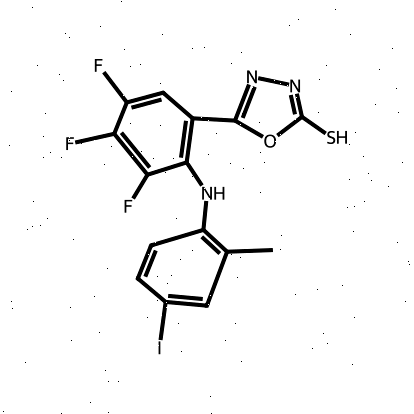 Cc1cc(I)ccc1Nc1c(-c2nnc(S)o2)cc(F)c(F)c1F